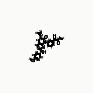 C=CC(=O)Nc1cccc(N2C(=O)N(C3CC3)Cc3cnc(Nc4ccc(OC)nc4)nc32)c1